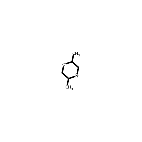 CC1COC(C)C[N]1